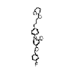 O=c1cc(OCc2ccc(F)cc2)ccn1-c1ccc(CCCOC2CCCCO2)cc1